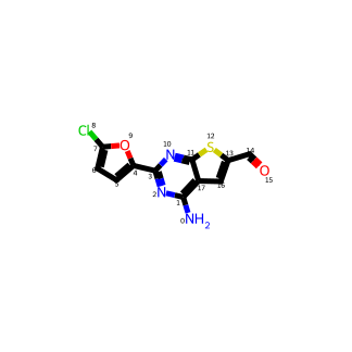 Nc1nc(-c2ccc(Cl)o2)nc2sc(C=O)cc12